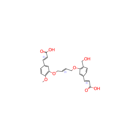 COc1ccc(/C=C/C(=O)O)cc1OC/C=C/COc1cc(/C=C/C(=O)O)ccc1CO